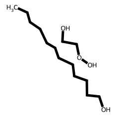 CCCCCCCCCCCCO.OCCOO